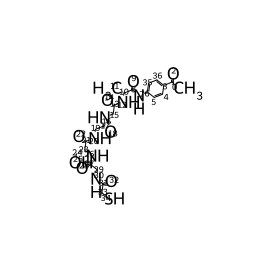 CC(=O)c1ccc(NC(=O)[C@@H](C)NC(=O)CNC(=O)CNC(=O)[C@@H](CO)NC(=O)CNC(=O)CS)cc1